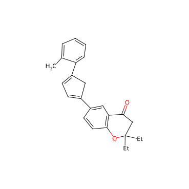 CCC1(CC)CC(=O)c2cc(C3=CC=C(c4ccccc4C)C3)ccc2O1